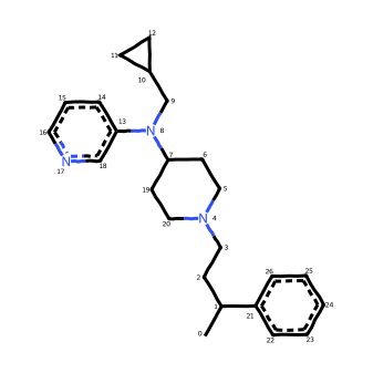 CC(CCN1CCC(N(CC2CC2)c2cccnc2)CC1)c1ccccc1